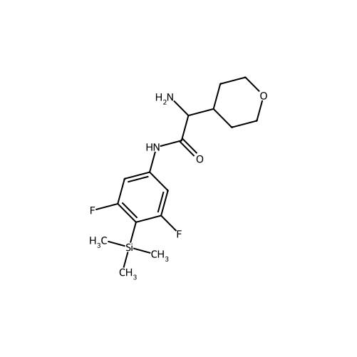 C[Si](C)(C)c1c(F)cc(NC(=O)C(N)C2CCOCC2)cc1F